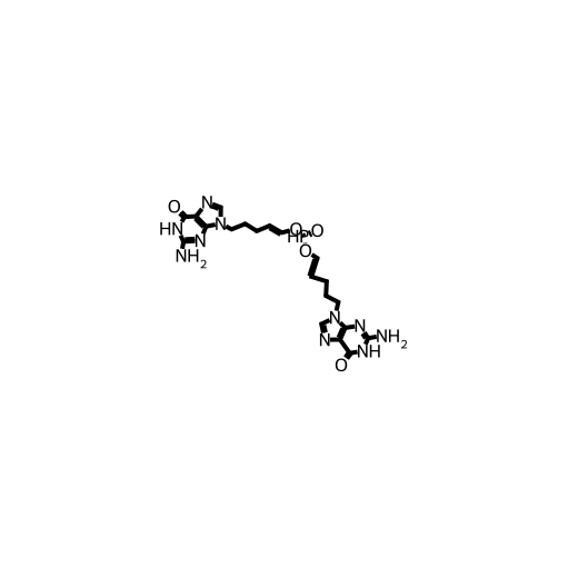 Nc1nc2c(ncn2CCCC=CO[PH](=O)OC=CCCCn2cnc3c(=O)[nH]c(N)nc32)c(=O)[nH]1